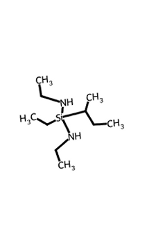 CCN[Si](CC)(NCC)C(C)CC